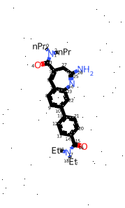 CCCN(CCC)C(=O)C1=Cc2ccc(-c3ccc(C(=O)N(CC)CC)cc3)cc2N=C(N)C1